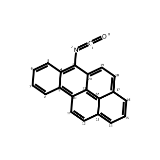 O=C=Nc1c2ccccc2c2ccc3cccc4ccc1c2c43